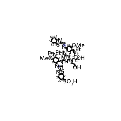 CCN(CC)c1cc(Nc2nc(Nc3cc(N(CC)CC)c(OC)cc3/N=N/c3nc4ccc(S(=O)(=O)O)cc4s3)nc(N(CCO)CCO)n2)c(/N=N/c2nc3ccccc3s2)cc1OC